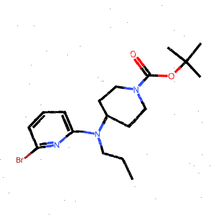 CCCN(c1cccc(Br)n1)C1CCN(C(=O)OC(C)(C)C)CC1